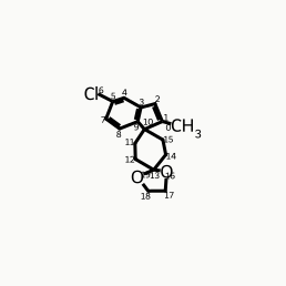 CC1=Cc2cc(Cl)ccc2C12CCC1(CC2)OCCO1